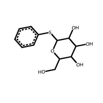 OCC1OC(Sc2ccccc2)C(O)C(O)C1O